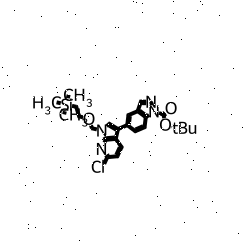 CC(C)(C)OC(=O)n1ncc2cc(-c3cn(COCC[Si](C)(C)C)c4nc(Cl)ccc34)ccc21